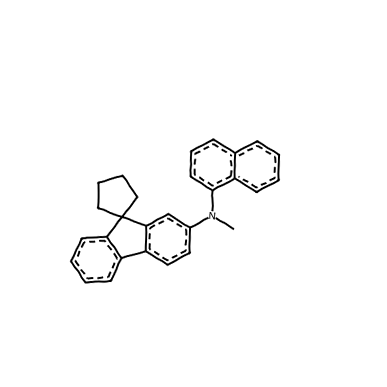 CN(c1ccc2c(c1)C1(CCCC1)c1ccccc1-2)c1cccc2ccccc12